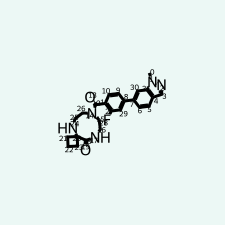 Cn1ncc2ccc(-c3ccc(C(=O)N4CCNC(=O)C5(CCC5)NCC4)c(F)c3)cc21